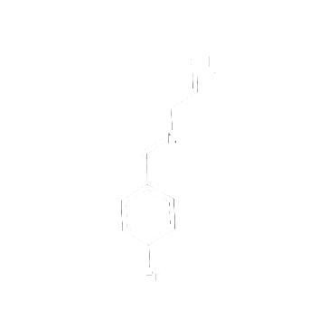 C=CCN=Cc1ccc(Br)cc1